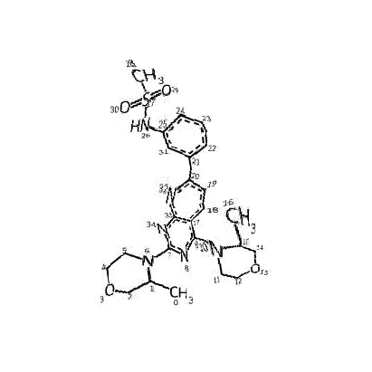 CC1COCCN1c1nc(N2CCOCC2C)c2ccc(-c3cccc(NS(C)(=O)=O)c3)nc2n1